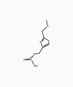 COCc1nc(CO[PH](=O)O)cs1